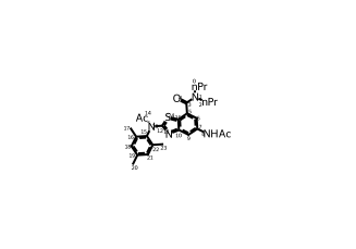 CCCN(CCC)C(=O)c1cc(NC(C)=O)cc2nc(N(C(C)=O)c3c(C)cc(C)cc3C)sc12